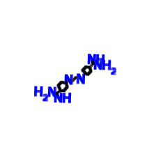 N=C(N)c1ccc(N=CC=Nc2ccc(C(=N)N)cc2)cc1